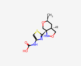 C[C@H]1C[C@H]2CON[C@]2(c2nc(NC(=O)O)cs2)CO1